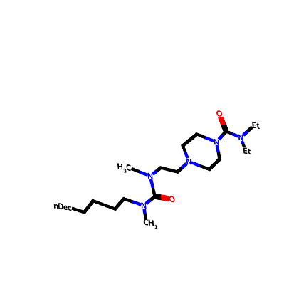 CCCCCCCCCCCCCCN(C)C(=O)N(C)CCN1CCN(C(=O)N(CC)CC)CC1